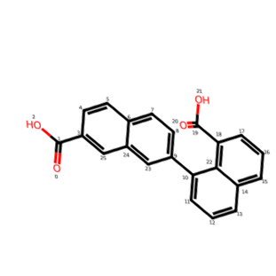 O=C(O)c1ccc2ccc(-c3cccc4cccc(C(=O)O)c34)cc2c1